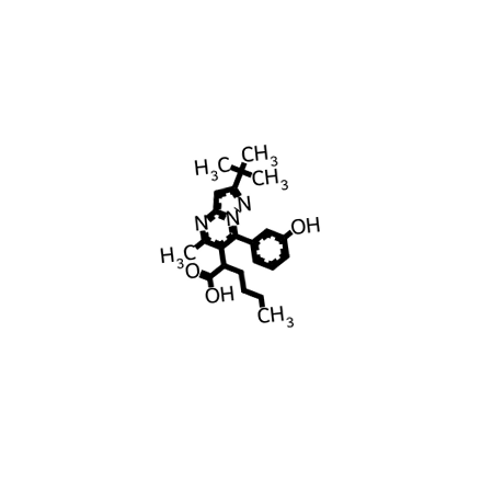 CCCCC(C(=O)O)c1c(C)nc2cc(C(C)(C)C)nn2c1-c1cccc(O)c1